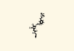 C#CCNC(=O)/C=c1\sc(=C=CNc2cccc(CCOS(C)(=O)=O)c2)c(=O)n1CC